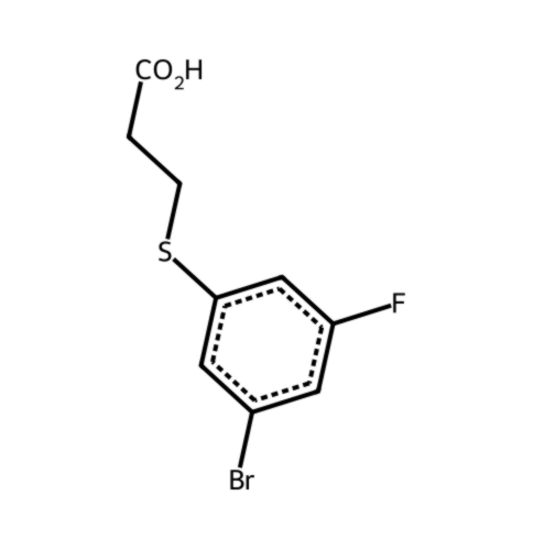 O=C(O)CCSc1cc(F)cc(Br)c1